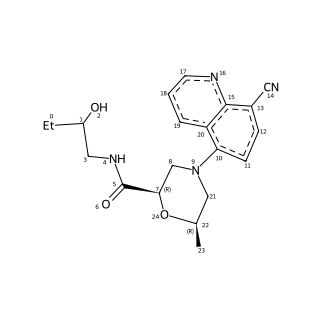 CCC(O)CNC(=O)[C@H]1CN(c2ccc(C#N)c3ncccc23)C[C@@H](C)O1